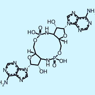 Nc1ncnc2c1ncn2[C@@H]1O[C@@H]2COP(=O)(O)NC3[C@@H](COP(=O)(O)NC2[C@@H]1O)O[C@@H](n1cnc2c(N)ncnc21)[C@H]3O